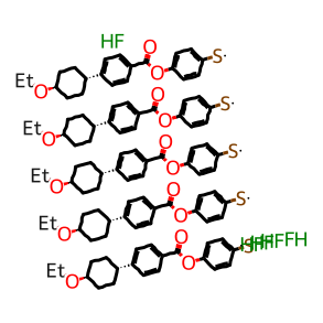 CCO[C@H]1CC[C@H](c2ccc(C(=O)Oc3ccc([S])cc3)cc2)CC1.CCO[C@H]1CC[C@H](c2ccc(C(=O)Oc3ccc([S])cc3)cc2)CC1.CCO[C@H]1CC[C@H](c2ccc(C(=O)Oc3ccc([S])cc3)cc2)CC1.CCO[C@H]1CC[C@H](c2ccc(C(=O)Oc3ccc([S])cc3)cc2)CC1.CCO[C@H]1CC[C@H](c2ccc(C(=O)Oc3ccc([S])cc3)cc2)CC1.F.F.F.F.F